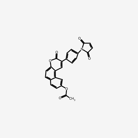 CC(=O)Oc1ccc2ccc3oc(=O)c(-c4ccc(N5C(=O)C=CC5=O)cc4)cc3c2c1